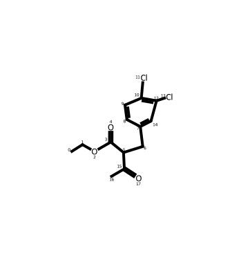 CCOC(=O)C(Cc1ccc(Cl)c(Cl)c1)C(C)=O